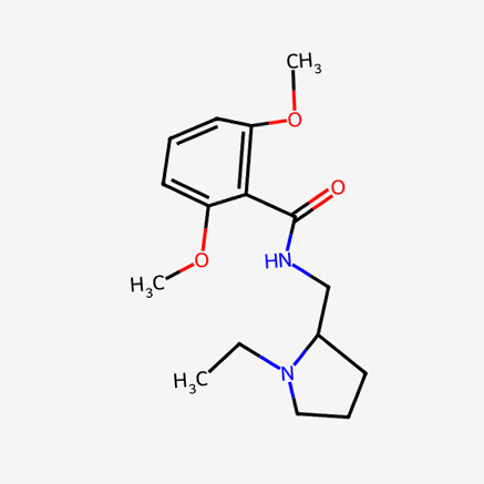 CCN1CCCC1CNC(=O)c1c(OC)cccc1OC